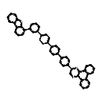 C1=C(c2ccc(-c3ccc(-c4cnc5c6ccccc6c6ccccc6c5n4)cc3)cc2)CCC(c2cccc(-c3cccc4c3sc3ccccc34)c2)=C1